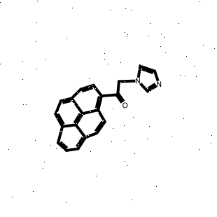 O=C(Cn1ccnc1)c1ccc2ccc3cccc4ccc1c2c34